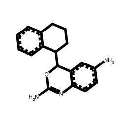 NC1=Nc2ccc(N)cc2C(C2CCCc3ccccc32)O1